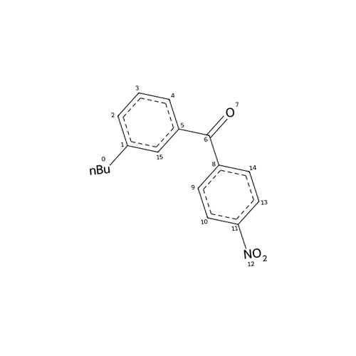 CCCCc1cccc(C(=O)c2ccc([N+](=O)[O-])cc2)c1